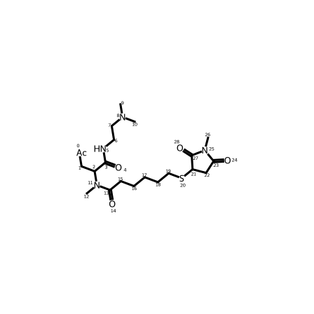 CC(=O)CC(C(=O)NCCN(C)C)N(C)C(=O)CCCCCSC1CC(=O)N(C)C1=O